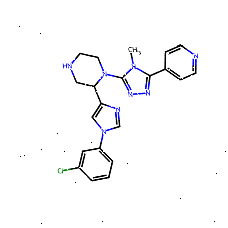 Cn1c(-c2ccncc2)nnc1N1CCNCC1c1cn(-c2cccc(Cl)c2)cn1